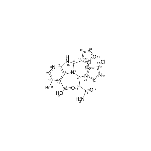 NC(=O)CC(N1c2c(ncc(Br)c2C(=O)O)NC1c1ccoc1)n1cnc(Cl)c1Cl